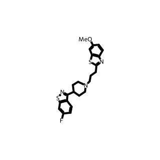 COc1ccc2nc(CCCN3CCC(c4nsc5cc(F)ccc45)CC3)sc2c1